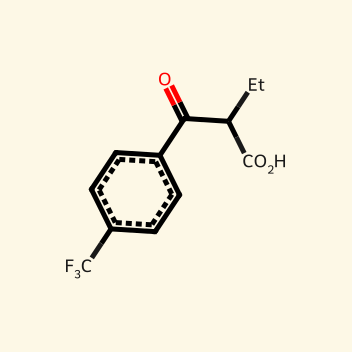 CCC(C(=O)O)C(=O)c1ccc(C(F)(F)F)cc1